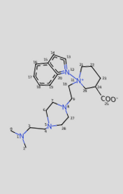 CN(C)CCN1CCN(CC[N+]2(n3ccc4ccccc43)CCCC(C(=O)[O-])C2)CC1